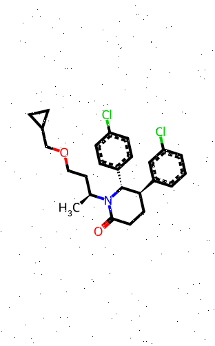 C[C@@H](CCOCC1CC1)N1C(=O)CC[C@H](c2cccc(Cl)c2)[C@H]1c1ccc(Cl)cc1